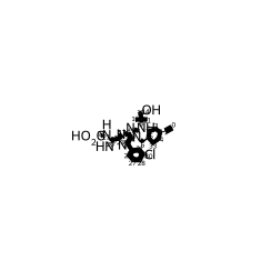 C#C[C@H]1CC[C@H](Cn2c(NC(C)(C)CO)nc3nc(C(=N)NC(=O)O)nc(-c4cccc(Cl)c4)c32)CC1